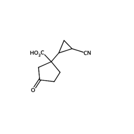 N#CC1CC1C1(C(=O)O)CCC(=O)C1